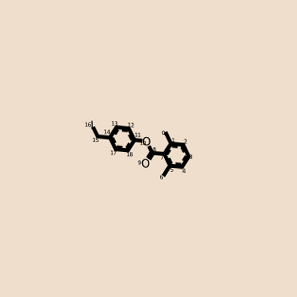 Cc1cccc(C)c1C(=O)Oc1ccc(CI)cc1